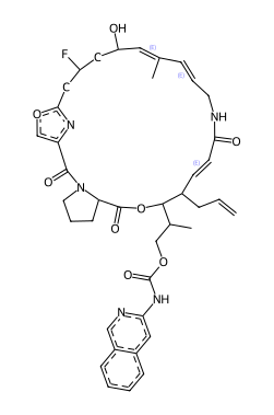 C=CCC1/C=C/C(=O)NC/C=C/C(C)=C/C(O)CC(F)Cc2nc(co2)C(=O)N2CCCC2C(=O)OC1C(C)COC(=O)Nc1cc2ccccc2cn1